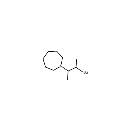 CCC(C)C(C)C(C)N1CCCCCC1